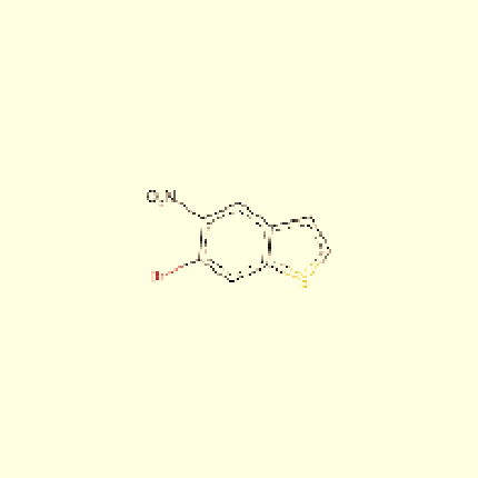 O=[N+]([O-])c1cc2ccsc2cc1Br